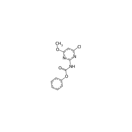 COc1cc(Cl)nc(NC(=O)Oc2ccccc2)n1